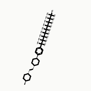 C[C@H]1CC[C@H](CC[C@H]2CC[C@H](c3ccc(C(F)(F)C(F)(F)C(F)(F)C(F)(F)C(F)(F)C(F)(F)C(F)(F)C(F)(F)C(F)(F)F)cc3)CC2)CC1